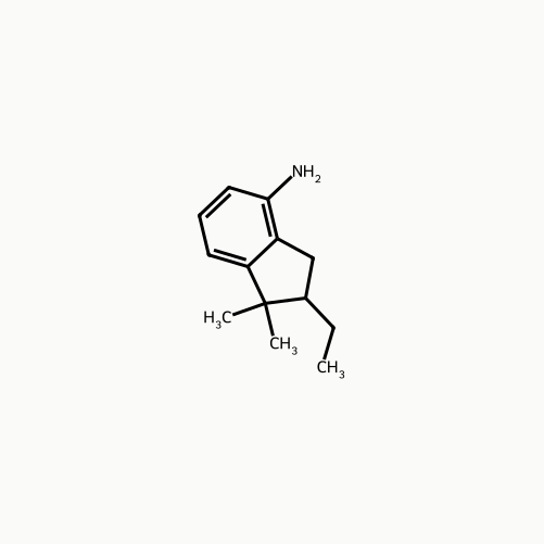 CCC1Cc2c(N)cccc2C1(C)C